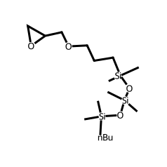 CCCC[Si](C)(C)O[Si](C)(C)O[Si](C)(C)CCCOCC1CO1